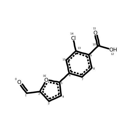 O=Cc1ccc(-c2ccc(C(=O)O)c(Cl)c2)o1